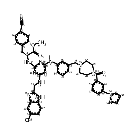 COC(=O)[C@H](Cc1ccc(C#N)cc1)Nc1nc(NCc2nc3cc(Cl)ccc3[nH]2)nc(Nc2cccc(CN3CCN(C(=O)c4cccc(-n5cccn5)c4)CC3)c2)n1